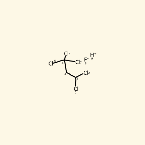 ClC(Cl)CC(Cl)(Cl)Cl.[F-].[H+]